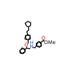 COC(=O)c1ccc(CNCC(OCc2ccc(CCC3CCCCC3)cc2)c2ccccc2)cc1